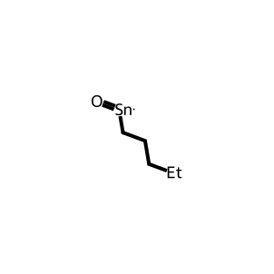 CCCC[CH2][Sn]=[O]